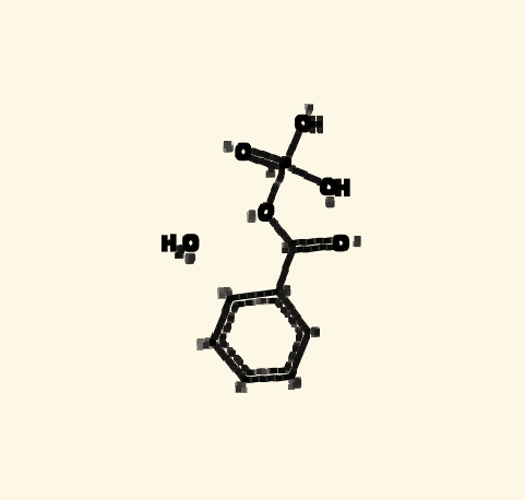 O.O=C(OP(=O)(O)O)c1ccccc1